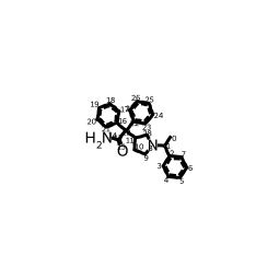 CC(c1ccccc1)N1CCC(C(C(N)=O)(c2ccccc2)c2ccccc2)C1